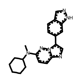 CN(c1ccc2ncc(-c3ccc4cn[nH]c4c3)n2n1)C1CCCCC1